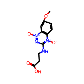 COc1ccc2c(c1)[n+]([O-])nc(NCCC(=O)O)[n+]2[O-]